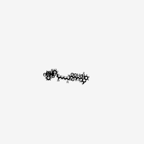 CO[C@H]1CCC[C@@H](CC(C)[C@@H](C)CC(=O)[C@H](C)/C=C(\C)[C@@H](O)[C@@H](OC)C(=O)[C@H](C)C[C@H](C)/C=C/C=C/C=C(\C)CC[C@@H]2CC[C@@H](C)[C@](O)(C(=O)C(=O)N3CCCC[C@H]3C(=O)O)O2)C1